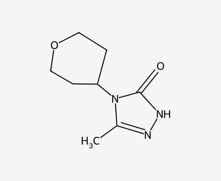 Cc1n[nH]c(=O)n1C1CCOCC1